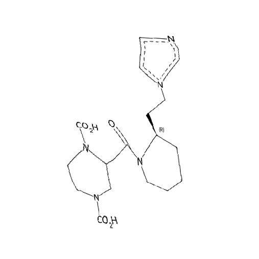 O=C(O)N1CCN(C(=O)O)C(C(=O)N2CCCC[C@@H]2CCn2ccnc2)C1